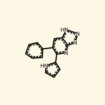 c1ccc(-c2cc3[nH]nnc3nc2-c2ccc[nH]2)cc1